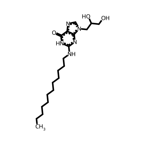 CCCCCCCCCCCCNc1nc2c(ncn2CC(O)CO)c(=O)[nH]1